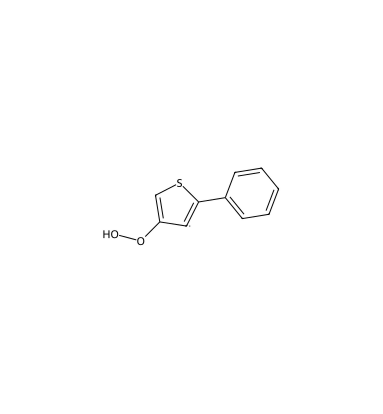 OOc1[c]c(-c2ccccc2)sc1